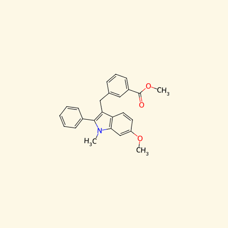 COC(=O)c1cccc(Cc2c(-c3ccccc3)n(C)c3cc(OC)ccc23)c1